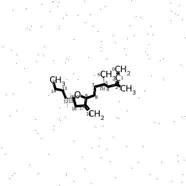 C=C=C(C)C[C@@H](C)CCC1O[C@@H](CCCC)CC1=C